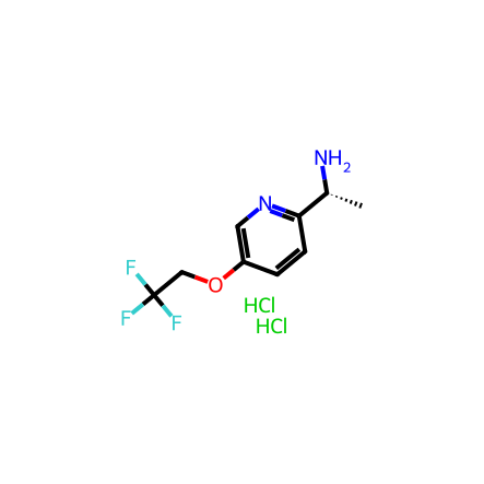 C[C@@H](N)c1ccc(OCC(F)(F)F)cn1.Cl.Cl